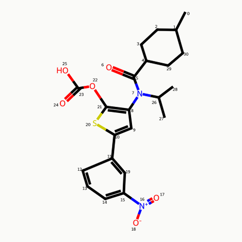 CC1CCC(C(=O)N(c2cc(-c3cccc([N+](=O)[O-])c3)sc2OC(=O)O)C(C)C)CC1